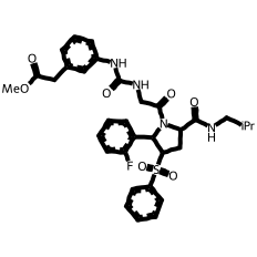 COC(=O)Cc1cccc(NC(=O)NCC(=O)N2C(C(=O)NCC(C)C)CC(S(=O)(=O)c3ccccc3)C2c2ccccc2F)c1